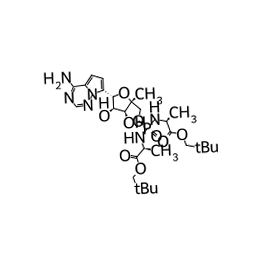 C[C@H](NP(=O)(N[C@@H](C)C(=O)OCC(C)(C)C)OC[C@@]1(C)O[C@@H](c2ccc3c(N)ncnn23)[C@H](O)[C@@H]1O)C(=O)OCC(C)(C)C